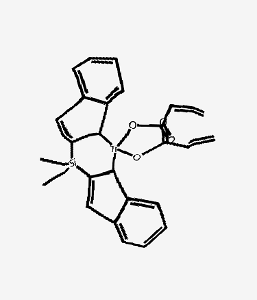 C=CC(=O)[O][Ti]1([O]C(=O)C=C)[CH]2C(=Cc3ccccc32)[Si](C)(C)C2=Cc3ccccc3[CH]21